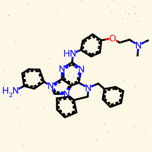 CN(C)CCOc1ccc(Nc2nc(N(Cc3ccccc3)Cc3ccccc3)c3ncn(-c4cccc(N)c4)c3n2)cc1